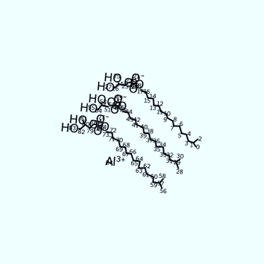 CC(C)CCCCCCCCCCCCCCCOP(=O)([O-])OCC(O)CO.CC(C)CCCCCCCCCCCCCCCOP(=O)([O-])OCC(O)CO.CC(C)CCCCCCCCCCCCCCCOP(=O)([O-])OCC(O)CO.[Al+3]